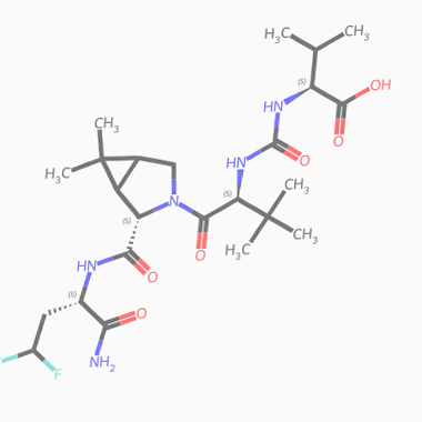 CC(C)[C@H](NC(=O)N[C@H](C(=O)N1CC2C([C@H]1C(=O)N[C@@H](CC(F)F)C(N)=O)C2(C)C)C(C)(C)C)C(=O)O